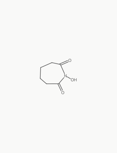 O=C1CCCCC(=O)N1O